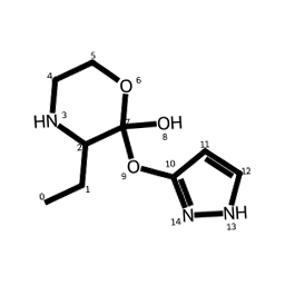 CCC1NCCOC1(O)Oc1cc[nH]n1